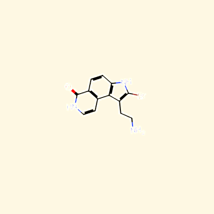 NCCc1c(Br)[nH]c2ccc3c(=O)[nH]ccc3c12